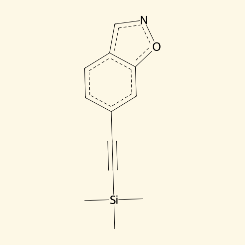 C[Si](C)(C)C#Cc1ccc2cnoc2c1